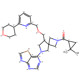 CC1(C)CC1C(=O)N1CC2(C1)CN(c1ncnc3ncsc13)CC2COCc1cccc(C2CCOCC2)n1